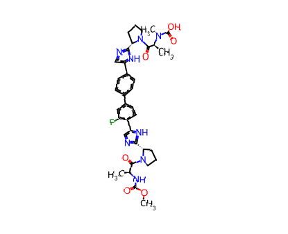 COC(=O)N[C@@H](C)C(=O)N1CCC[C@H]1c1ncc(-c2ccc(-c3ccc(-c4cnc([C@@H]5CCCN5C(=O)[C@H](C)N(C)C(=O)O)[nH]4)cc3)cc2F)[nH]1